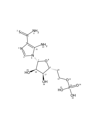 NC(=S)c1ncn([C@@H]2O[C@H](CCOP(=O)(O)O)[C@@H](O)[C@H]2O)c1N